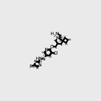 NCCC1(CC(CN)COc2ncc(SNc3ncc(F)s3)cc2Cl)CCC1